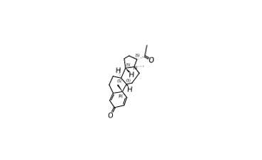 CC(=O)[C@H]1CC[C@H]2[C@@H]3CCC4=CC(=O)C=C[C@@]4(C)[C@H]3CC[C@]12C